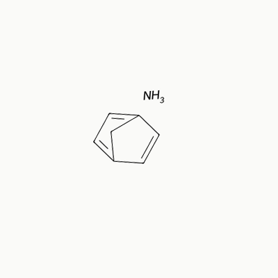 C1=CC2=CC=C1C2.N